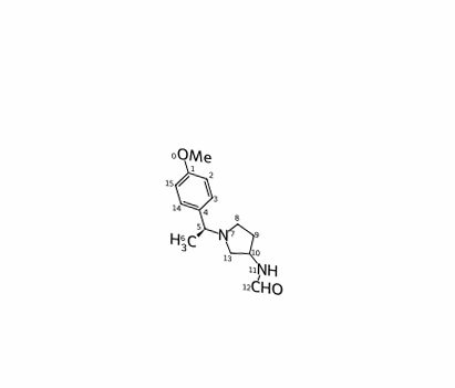 COc1ccc([C@H](C)N2CCC(NC=O)C2)cc1